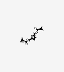 O=C(OC=c1ccc(=COC(=O)C2CC2)s1)C1CC1